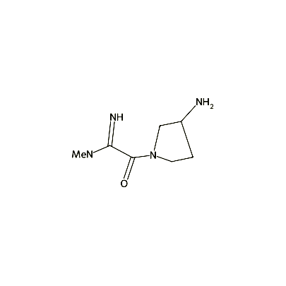 CNC(=N)C(=O)N1CCC(N)C1